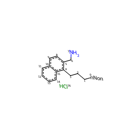 CCCCCCCCCCCCc1c(CN)ccc2ccccc12.Cl